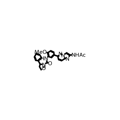 COc1ccc(-c2ccc3nc(NC(C)=O)cn3n2)cc1NC(=O)N1OCCC1c1ccccc1